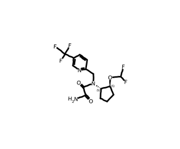 NC(=O)C(=O)N(Cc1ccc(C(F)(F)F)cn1)[C@H]1CCC[C@@H]1OC(F)F